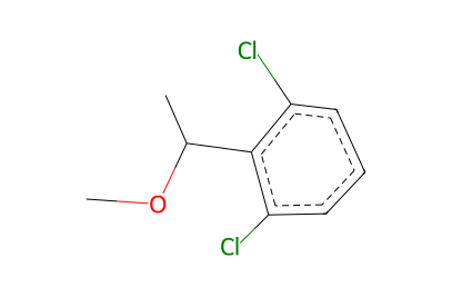 COC(C)c1c(Cl)cccc1Cl